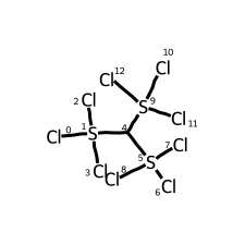 ClS(Cl)(Cl)C(S(Cl)(Cl)Cl)S(Cl)(Cl)Cl